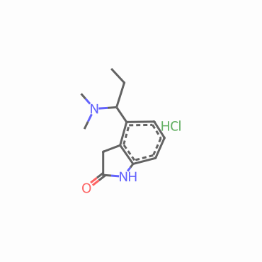 CCC(c1cccc2c1CC(=O)N2)N(C)C.Cl